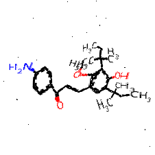 CCC(C)(C)c1cc(C=CC(=O)c2ccc(N)cc2)c(OC)c(C(C)(C)CC)c1O